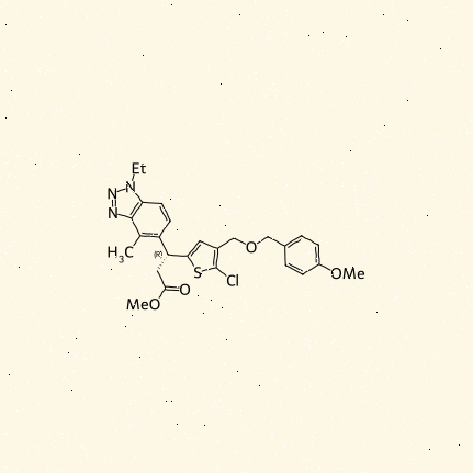 CCn1nnc2c(C)c([C@@H](CC(=O)OC)c3cc(COCc4ccc(OC)cc4)c(Cl)s3)ccc21